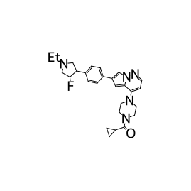 CCN1CC(F)C(c2ccc(-c3cc4c(N5CCN(C(=O)C6CC6)CC5)ccnn4c3)cc2)C1